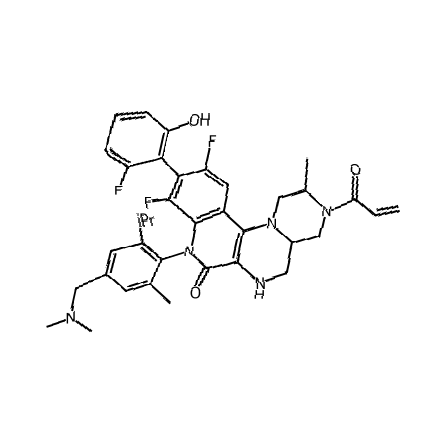 C=CC(=O)N1CC2CNc3c(c4cc(F)c(-c5c(O)cccc5F)c(F)c4n(-c4c(C)cc(CN(C)C)cc4C(C)C)c3=O)N2CC1C